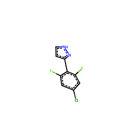 Fc1cc(Cl)cc(F)c1-c1cc[nH]n1